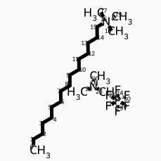 CCCCCCCCCCCCCCCC[N+](C)(C)C.CN(C)C.F[P-](F)(F)(F)(F)F